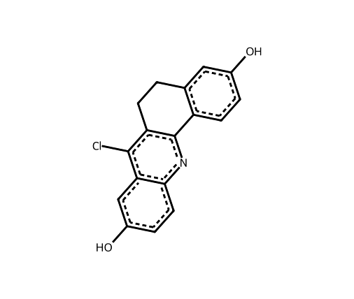 Oc1ccc2c(c1)CCc1c-2nc2ccc(O)cc2c1Cl